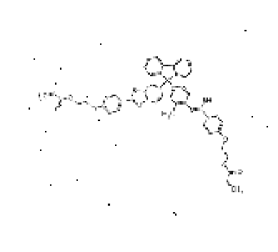 C=CC(=O)OCCOc1ccc(/C(S)=N/c2ccc(C3(c4ccc5nc(-c6ccc(OCCOC(=O)C=C)cc6)sc5c4)c4ccccc4-c4ccccc43)cc2C)cc1